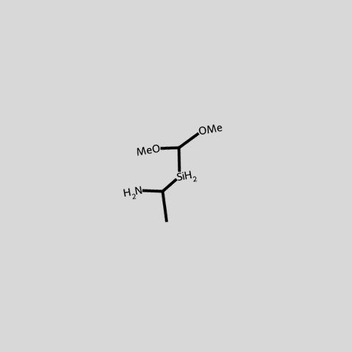 COC(OC)[SiH2]C(C)N